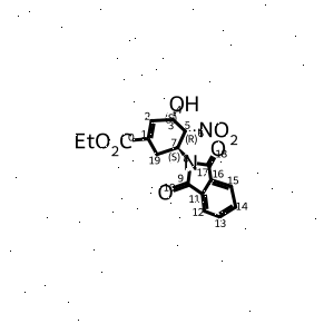 CCOC(=O)C1=C[C@H](O)[C@H]([N+](=O)[O-])[C@@H](N2C(=O)c3ccccc3C2=O)C1